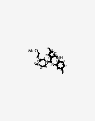 COCC[C@H]1CN(C2=Nc3cc(F)ccc3Nc3sc(C)cc32)CCN1C